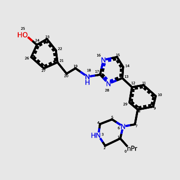 CCCC1CNCCN1Cc1cccc(-c2ccnc(NCCc3ccc(O)cc3)n2)c1